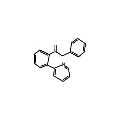 c1ccc(CNc2ccccc2-c2ccccn2)cc1